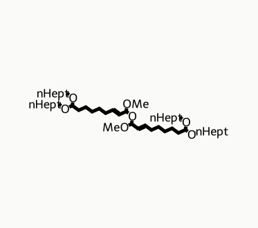 CCCCCCCOC(CCCCCC=CC(OC)OC(C=CCCCCCC(OCCCCCCC)OCCCCCCC)OC)OCCCCCCC